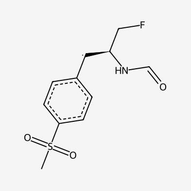 CS(=O)(=O)c1ccc([CH][C@@H](CF)NC=O)cc1